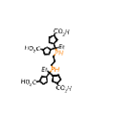 CCC(PCCCPC(CC)(C1CCC(C(=O)O)C1)C1CCC(C(=O)O)C1)(C1CCC(C(=O)O)C1)C1CCC(C(=O)O)C1